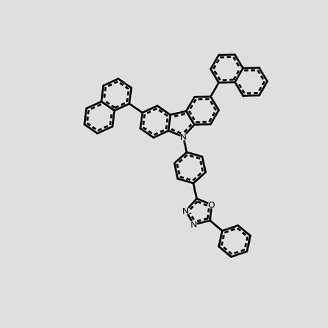 c1ccc(-c2nnc(-c3ccc(-n4c5ccc(-c6cccc7ccccc67)cc5c5cc(-c6cccc7ccccc67)ccc54)cc3)o2)cc1